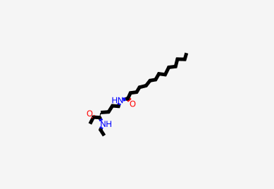 CCCCCCCCCCCCCC(=O)NCCCC[C@H](NCC)C(C)=O